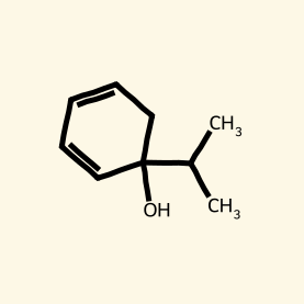 CC(C)C1(O)C=CC=CC1